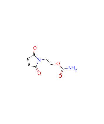 NC(=O)OCCN1C(=O)C=CC1=O